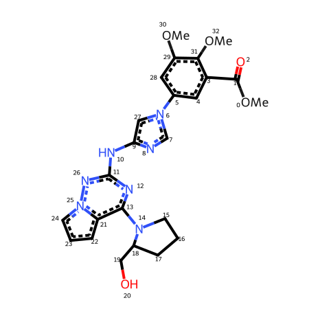 COC(=O)c1cc(-n2cnc(Nc3nc(N4CCCC4CO)c4cccn4n3)c2)cc(OC)c1OC